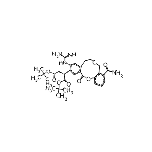 CC(C)(C)OC(=O)C[C@H](C(=O)OC(C)(C)C)c1cc2c(cc1NC(=N)N)CCCCc1c(cccc1C(N)=O)OC2=O